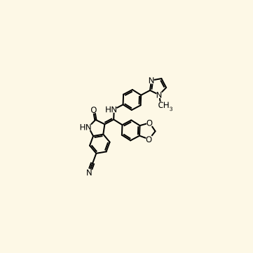 Cn1ccnc1-c1ccc(N/C(=C2\C(=O)Nc3cc(C#N)ccc32)c2ccc3c(c2)OCO3)cc1